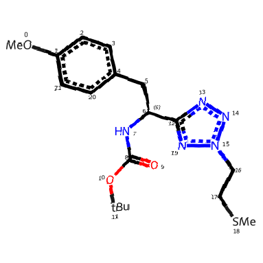 COc1ccc(C[C@H](NC(=O)OC(C)(C)C)c2nnn(CCSC)n2)cc1